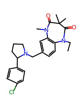 CCN1C(=O)C(C)(C)C(=O)N(C)c2cc(CN3CCCC3c3ccc(Cl)cc3)ccc21